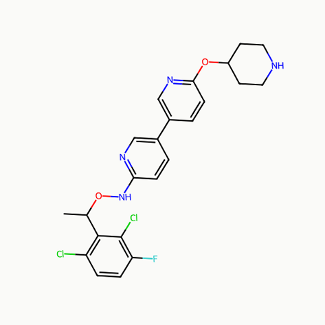 CC(ONc1ccc(-c2ccc(OC3CCNCC3)nc2)cn1)c1c(Cl)ccc(F)c1Cl